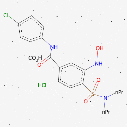 CCCN(CCC)S(=O)(=O)c1ccc(C(=O)Nc2ccc(Cl)cc2C(=O)O)cc1NO.Cl